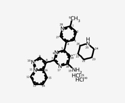 Cc1ccc(-c2nc(-c3cnn4ccccc34)nc(N)c2[C@H]2CCCNC2)cn1.Cl.Cl